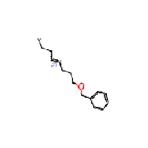 [CH2]CC/C=C/CCCOCc1ccccc1